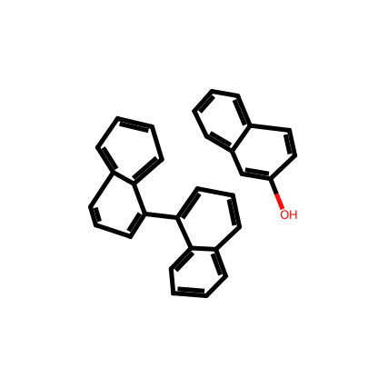 Oc1ccc2ccccc2c1.c1ccc2c(-c3cccc4ccccc34)cccc2c1